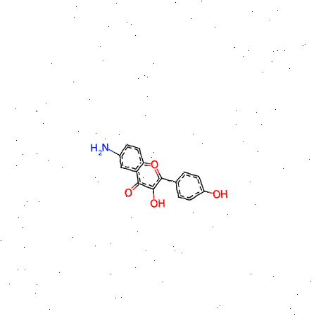 Nc1ccc2oc(-c3ccc(O)cc3)c(O)c(=O)c2c1